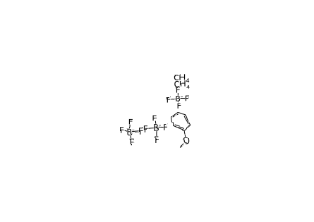 C.C.COc1ccccc1.F[B-](F)(F)F.F[B-](F)(F)F.F[B-](F)(F)F